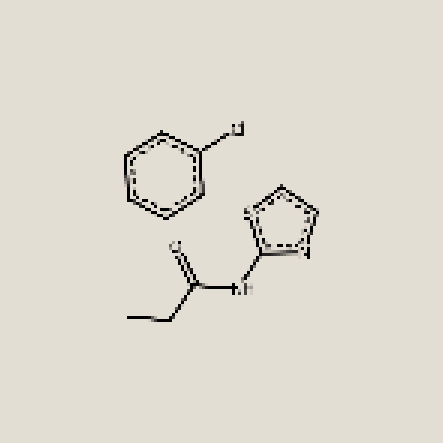 CCC(=O)Nc1nccs1.Clc1ccccc1